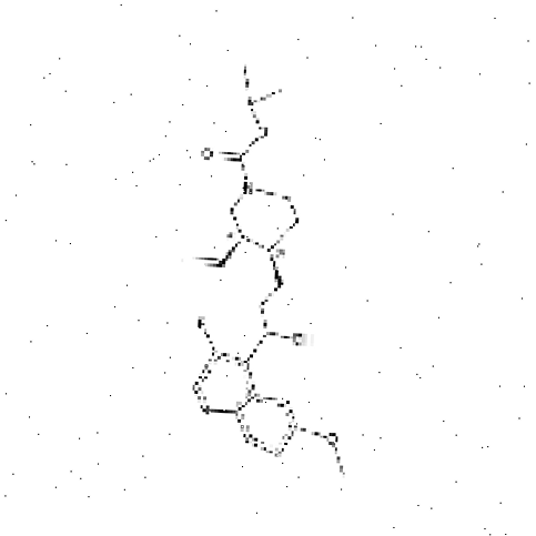 C=C[C@H]1CN(C(=O)OC(C)(C)C)CC[C@H]1CCC(O)c1c(F)cnc2ccc(OC)cc12